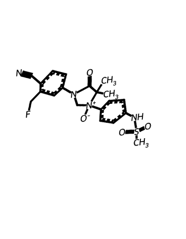 CC1(C)C(=O)N(c2ccc(C#N)c(CF)c2)C[N+]1([O-])c1ccc(NS(C)(=O)=O)cc1